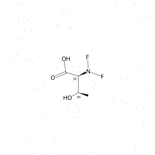 C[C@@H](O)[C@@H](C(=O)O)N(F)F